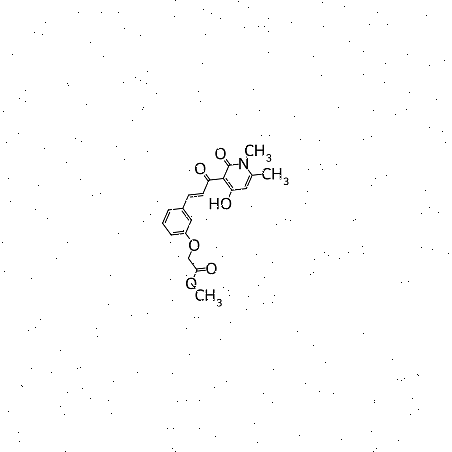 COC(=O)COc1cccc(C=CC(=O)c2c(O)cc(C)n(C)c2=O)c1